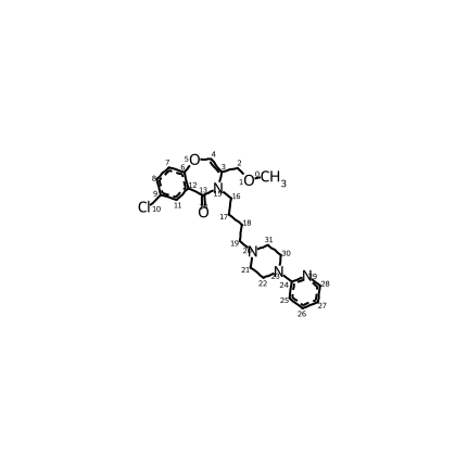 COCC1=COc2ccc(Cl)cc2C(=O)N1CCCCN1CCN(c2ccccn2)CC1